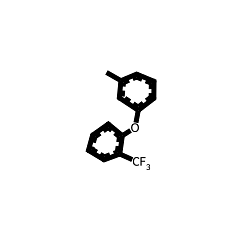 Cc1cccc(Oc2ccccc2C(F)(F)F)c1